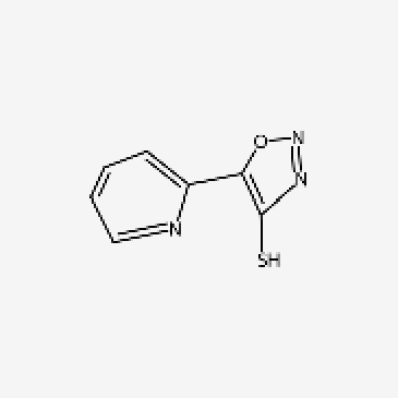 Sc1nnoc1-c1ccccn1